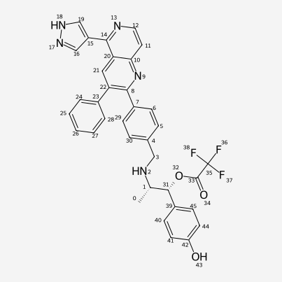 C[C@H](NCc1ccc(-c2nc3ccnc(-c4cn[nH]c4)c3cc2-c2ccccc2)cc1)[C@H](OC(=O)C(F)(F)F)c1ccc(O)cc1